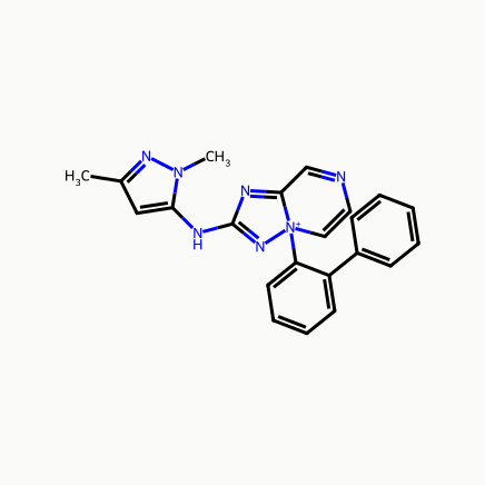 Cc1cc(NC2=N[N+]3(c4ccccc4-c4ccccc4)C=CN=CC3=N2)n(C)n1